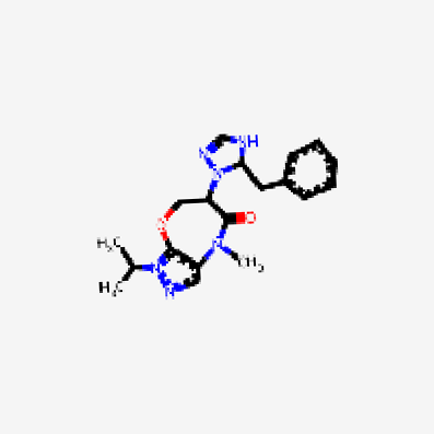 CC(C)n1ncc2c1OCC(N1N=CNC1Cc1ccccc1)C(=O)N2C